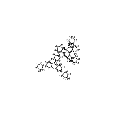 c1ccc(-c2ccc(N(c3ccc(-c4ccccc4)cc3)c3ccc(-c4cccc5oc6c(-c7cccc8c7sc7ccccc78)c7c(cc6c45)oc4ccccc47)cc3)cc2)cc1